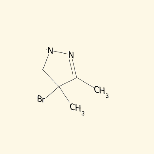 CC1=N[N]CC1(C)Br